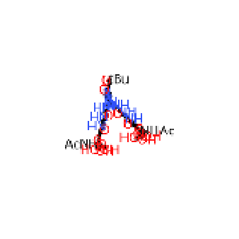 CC(=O)NC1C(OCCCCC(=O)NCCCNC(=O)CCNc2nc(NCCC(=O)NCCCNC(=O)CCCCOC3OC(CO)C(O)C(O)C3NC(C)=O)nc(N3CCN(C(=O)CCCC(=O)C(C)(C)C)CC3)n2)OC(CO)C(O)C1O